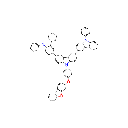 C1=CCCC(NC2CCC(C3C=CC4C(C3)C3CC(C5C=CC6C(C5)C5CCC=CC5N6C5=CC=CCC5)C=CC3N4C3=CC=C(OC4C=CC5=C(C4)OC4CCC=CC54)CC3)C=C2C2CC=CCC2)=C1